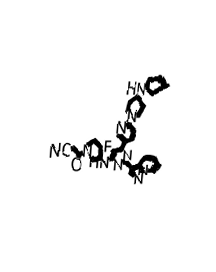 N#CCC(=O)N1CCC[C@@H](Nc2nc(-c3cnn4ccccc34)nc(-c3ccc(N4CCC(NC5CCCC5)CC4)nc3)c2F)C1